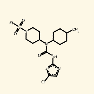 CCS(=O)(=O)N1CCC(N(C(=O)Nc2ncc(Cl)s2)C2CCC(C)CC2)CC1